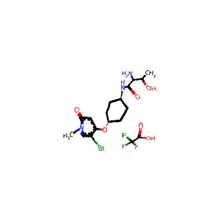 CC(O)C(N)C(=O)N[C@H]1CC[C@H](Oc2cc(=O)n(C)cc2Br)CC1.O=C(O)C(F)(F)F